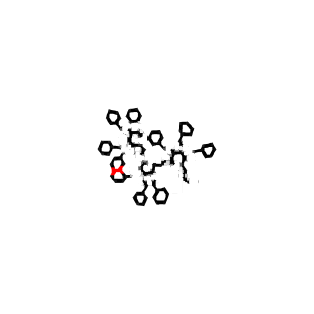 CCC(=O)OCC1O[C@@H](OCC2O[C@@H](OCC3O[C@@H](Sc4ccccc4)C(OCc4ccccc4)[C@H](OCc4ccccc4)[C@@H]3OCc3ccccc3)C(OCc3ccccc3)[C@H](OCc3ccccc3)[C@@H]2OCc2ccccc2)C(OCc2ccccc2)[C@H](OCc2ccccc2)[C@@H]1OCc1ccccc1